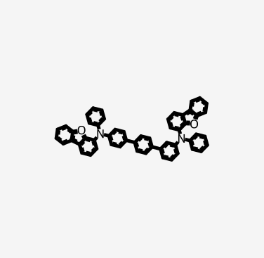 c1ccc(N(c2ccc(-c3ccc(-c4cccc(N(c5ccccc5)c5cccc6c5oc5ccccc56)c4)cc3)cc2)c2cccc3c2oc2ccccc23)cc1